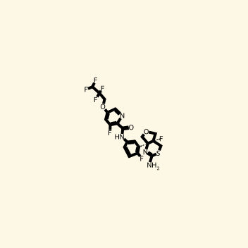 NC1=N[C@@]2(c3cc(NC(=O)c4ncc(OCC(F)(F)C(F)F)cc4F)ccc3F)COC[C@@]2(F)CS1